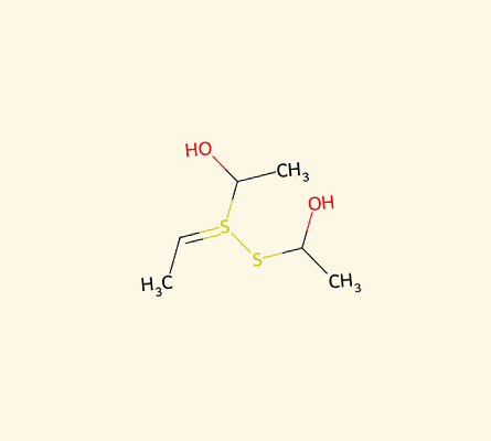 CC=S(SC(C)O)C(C)O